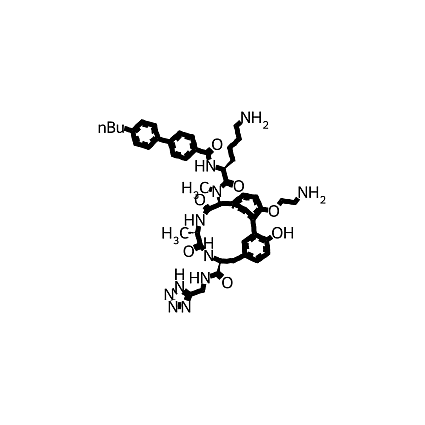 CCCCc1ccc(-c2ccc(C(=O)N[C@@H](CCCCN)C(=O)N(C)[C@@H]3C(=O)N[C@@H](C)C(=O)N[C@H](C(=O)NCc4nnn[nH]4)Cc4ccc(O)c(c4)-c4cc3ccc4OCCN)cc2)cc1